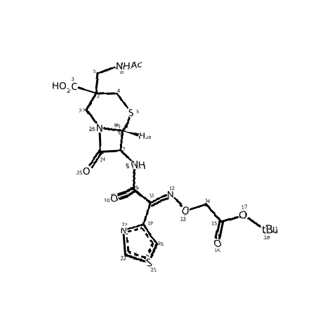 CC(=O)NCC1(C(=O)O)CS[C@@H]2C(NC(=O)C(=NOCC(=O)OC(C)(C)C)c3cscn3)C(=O)N2C1